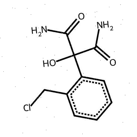 NC(=O)C(O)(C(N)=O)c1ccccc1CCl